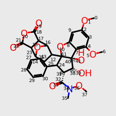 COc1cc(OC)c2c(c1)OC1(C3CC4OC3C3C(=O)OC(=O)C43)C(c3ccccc3)[C@@H](C(=O)N(C)OC)[C@@H](O)[C@@]21O